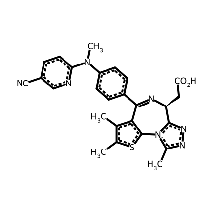 Cc1sc2c(c1C)C(c1ccc(N(C)c3ccc(C#N)cn3)cc1)=N[C@@H](CC(=O)O)c1nnc(C)n1-2